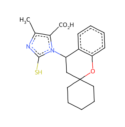 Cc1nc(S)n(C2CC3(CCCCC3)Oc3ccccc32)c1C(=O)O